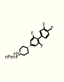 CCCCC[Si@H]1CC[C@H](c2cc(F)c(-c3ccc(F)c(F)c3)c(F)c2)CC1